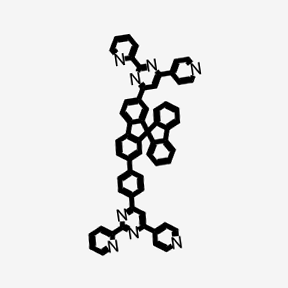 c1ccc(-c2nc(-c3ccncc3)cc(-c3ccc(-c4ccc5c(c4)C4(c6ccccc6-c6ccccc64)c4cc(-c6cc(-c7ccncc7)nc(-c7ccccn7)n6)ccc4-5)cc3)n2)nc1